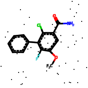 NC(=O)c1cc(OC(F)(F)F)c(F)c(-c2ccccc2)c1Cl